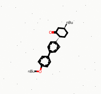 CCCCOc1ccc(-c2ccc([C@H]3CC[C@H](CCCC)CC3=O)cc2)cc1